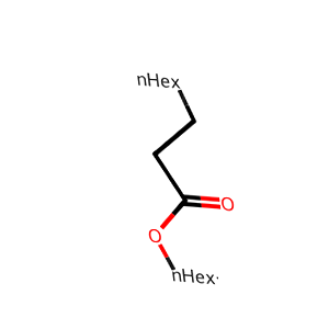 CCCCC[CH]OC(=O)CCCCCCCC